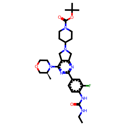 CCNC(=O)Nc1ccc(-c2nc3c(c(N4CCOC[C@@H]4C)n2)CN(C2CCN(C(=O)OC(C)(C)C)CC2)C3)cc1F